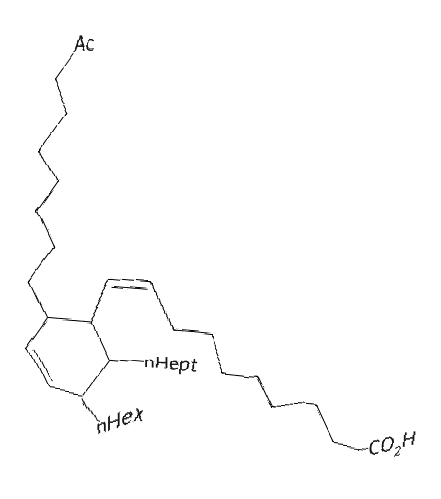 CCCCCCCC1C(CCCCCC)C=CC(CCCCCCCC(C)=O)C1/C=C\CCCCCCCC(=O)O